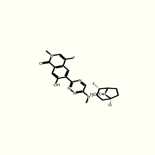 CN(c1cnc(-c2cc3c(F)cn(C)c(=O)c3cc2O)nn1)[C@H]1C[C@@H]2CCC([C@H]1F)N2C(=O)O